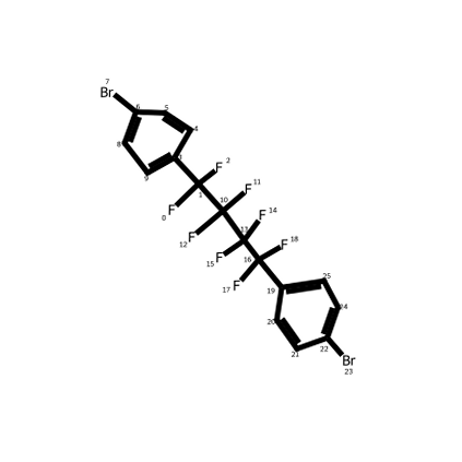 FC(F)(c1ccc(Br)cc1)C(F)(F)C(F)(F)C(F)(F)c1ccc(Br)cc1